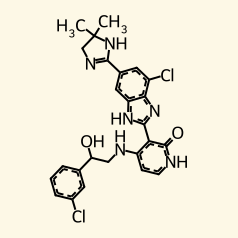 CC1(C)CN=C(c2cc(Cl)c3nc(-c4c(NCC(O)c5cccc(Cl)c5)cc[nH]c4=O)[nH]c3c2)N1